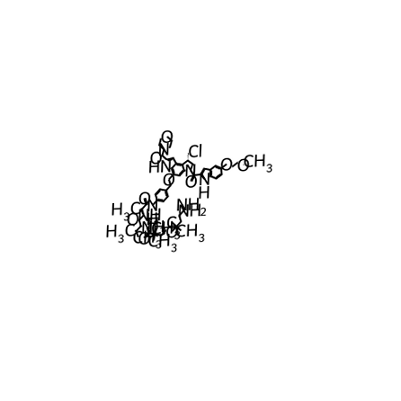 COCCOc1ccc2[nH]c(C(=O)N3C[C@@H](CCl)c4c3cc(OCc3ccc(NC(=O)[C@H](C)NC(=O)[C@@H](NC(=O)C(C)(C)CCOC(C)(C)CCNN)C(C)C)cc3)c3[nH]c(C(=O)N5CCOCC5)cc43)cc2c1